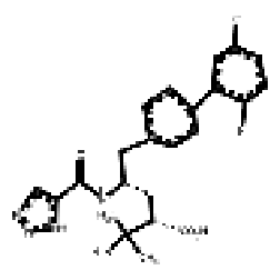 CC(C)(N)[C@H](C[C@@H](Cc1ccc(-c2cc(Cl)ccc2F)cc1)NC(=O)c1cnn[nH]1)C(=O)O